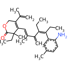 C=C(C)C1=C(/C=C(\C)C(=C)/C(CC)=C(/CC)c2cc(C)ccc2N)C(C)(CC)C(=O)OC1